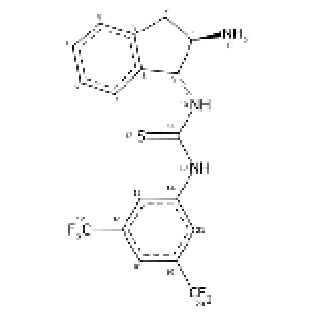 N[C@@H]1Cc2ccccc2[C@H]1NC(=S)Nc1cc(C(F)(F)F)cc(C(F)(F)F)c1